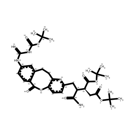 CC(C)(C)OC(=O)C[C@H](C(=O)OC(C)(C)C)C(Cc1ccc2c(n1)CCc1cc(NC(=N)NC(=O)OC(C)(C)C)ccc1C(=O)O2)C(N)=O